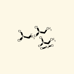 CCP(Cl)Cl.CCP(Cl)Cl.CCP(Cl)Cl.[Cl][Ru][Cl]